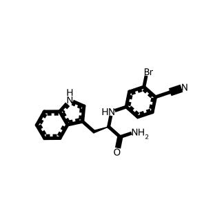 N#Cc1ccc(N[C@H](Cc2c[nH]c3ccccc23)C(N)=O)cc1Br